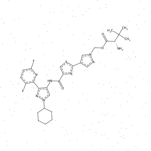 CC(C)(C)[C@H](N)C(=O)OCn1cc(-c2nc(C(=O)Nc3cn(C4CCCCC4)nc3-c3nc(F)ccc3F)cs2)cn1